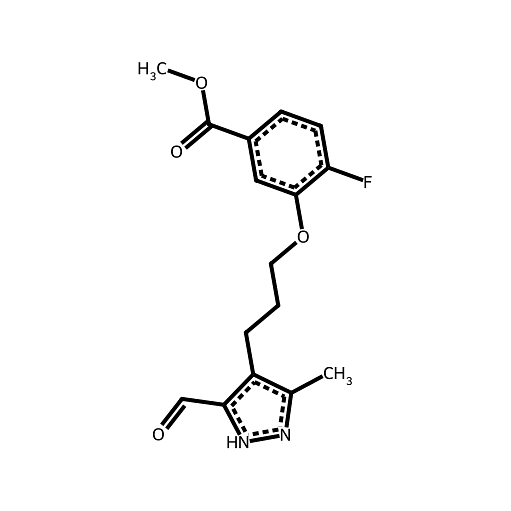 COC(=O)c1ccc(F)c(OCCCc2c(C)n[nH]c2C=O)c1